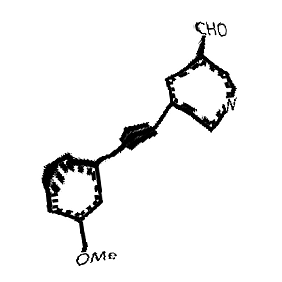 COc1cccc(C#Cc2cncc(C=O)c2)c1